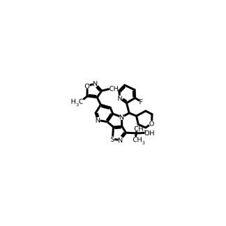 Cc1noc(C)c1-c1cnc2c3snc(C(C)(C)O)c3n(C(c3ncccc3F)C3CCOCC3)c2c1